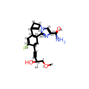 COC[C@@](C)(O)C#Cc1cc2c(cc1F)C1=CC(C1)n1cc(C(N)=O)nc1-2